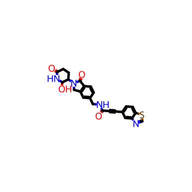 O=C(C#Cc1ccc2scnc2c1)NCc1ccc2c(c1)CN(C1CCC(=O)NC1O)C2=O